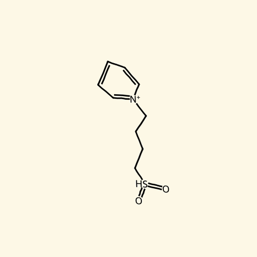 O=[SH](=O)CCCC[n+]1ccccc1